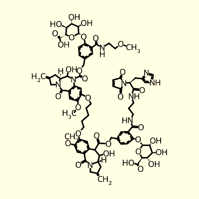 C=C1C[C@H]2C(O)C(C(=O)OCc3ccc(O[C@@H]4O[C@H](C(=O)O)[C@@H](O)[C@H](O)[C@H]4O)c(C(=O)NCCCNC(=O)[C@H](Cc4c[nH]cn4)N4C(=O)C=CC4=O)c3)c3cc(OCCCCCOc4cc5c(cc4OC)C(=O)N4CC(=C)C[C@H]4C(O)N5C(=O)OCc4ccc(O[C@@H]5O[C@H](C(=O)O)[C@@H](O)[C@H](O)[C@H]5O)c(C(=O)NCCOC)c4)c(OC)cc3C(=O)N2C1